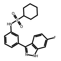 O=S(=O)(Nc1cccc(-c2n[nH]c3cc(F)ccc23)c1)C1CCCCC1